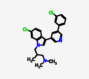 CC(CN(C)C)Cn1cc(-c2cncc(-c3cccc(Cl)c3)c2)c2ccc(Cl)cc21